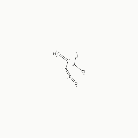 C=CN=C=O.ClCCl